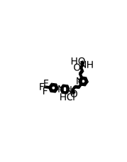 Cl.O=C(C=Cc1cccc(C=CC(=O)N2CCN(c3ccc(C(F)(F)F)cc3)CC2)n1)NO